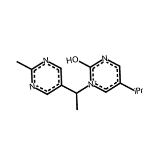 Cc1ncc(C(C)[n+]2cc(C(C)C)cnc2O)cn1